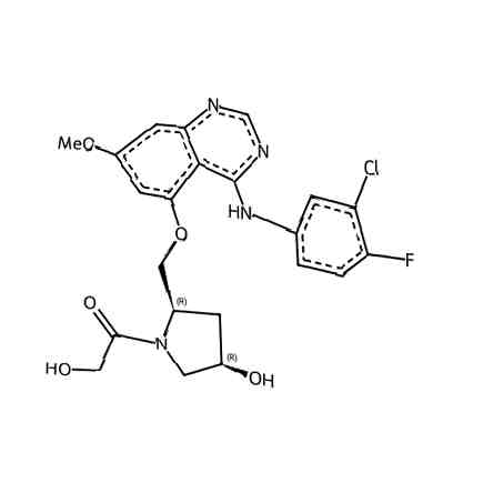 COc1cc(OC[C@H]2C[C@@H](O)CN2C(=O)CO)c2c(Nc3ccc(F)c(Cl)c3)ncnc2c1